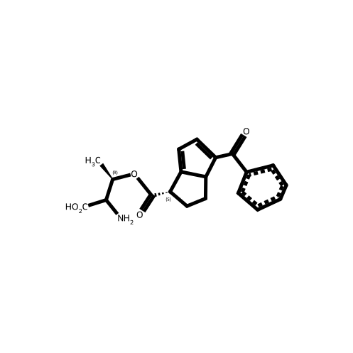 C[C@@H](OC(=O)[C@H]1CCC2C(C(=O)c3ccccc3)=CC=C21)C(N)C(=O)O